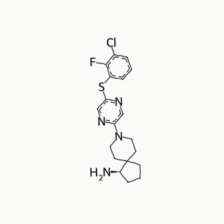 N[C@@H]1CCCC12CCN(c1cnc(Sc3cccc(Cl)c3F)cn1)CC2